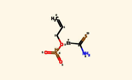 C=CCO[SH](=O)=O.CCC(N)=S